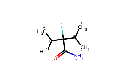 CC(C)C(F)(C(N)=O)C(C)C